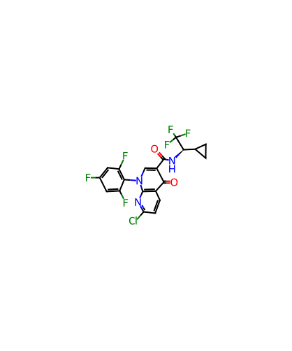 O=C(N[C@H](C1CC1)C(F)(F)F)c1cn(-c2c(F)cc(F)cc2F)c2nc(Cl)ccc2c1=O